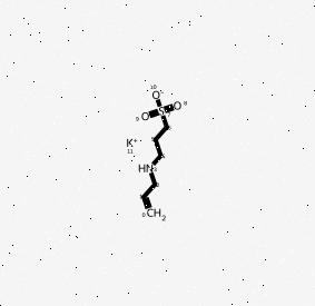 C=CCNCCCS(=O)(=O)[O-].[K+]